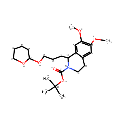 COc1cc2c(cc1OC)C(CCCOC1CCCCO1)N(C(=O)OC(C)(C)C)CC2